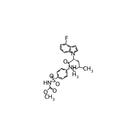 COC(=O)NS(=O)(=O)c1ccc(NC(=O)[C@H](CC(C)C)n2ccc3c(F)cccc32)cc1